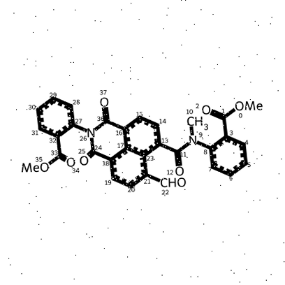 COC(=O)c1ccccc1N(C)C(=O)c1ccc2c3c(ccc(C=O)c13)C(=O)N(c1ccccc1C(=O)OC)C2=O